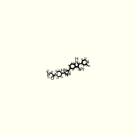 Cc1cc(-c2[nH]c3ccc(-c4nnc(C5CCN(C(=O)CN(C)C)CC5)[nH]4)cc3c2C(C)C)ccn1